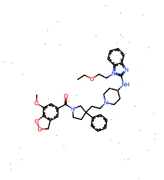 CCOCCn1c(NC2CCN(CCC3(c4ccccc4)CCN(C(=O)c4cc5c(c(OC)c4)OOC5)C3)CC2)nc2ccccc21